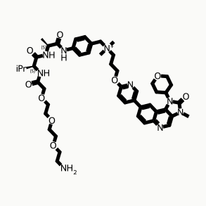 CC(C)[C@H](NC(=O)COCCOCCOCCN)C(=O)N[C@@H](C)C(=O)Nc1ccc(C[N+](C)(C)CCCOc2ccc(-c3ccc4ncc5c(c4c3)n(C3CCOCC3)c(=O)n5C)cn2)cc1